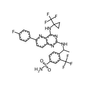 CC(Nc1nc(NC2(C(F)(F)F)CC2)c2nc(-c3ccc(F)cc3)ccc2n1)c1ccc(S(N)(=O)=O)cc1C(F)(F)F